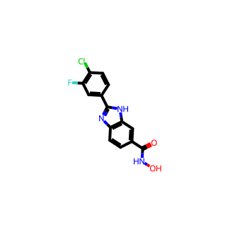 O=C(NO)c1ccc2nc(-c3ccc(Cl)c(F)c3)[nH]c2c1